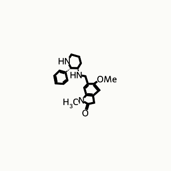 COc1cc2c(cc1CN[C@H]1CCCN[C@H]1c1ccccc1)N(C)C(=O)C2